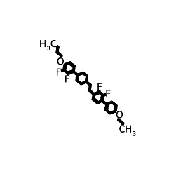 CCCCOc1ccc(C2CCC(CCc3ccc(C4=CCC(OCCC)CC4)c(F)c3F)CC2)c(F)c1F